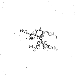 C=Cc1ccccc1.COS(=O)(=O)OC.O=S(O)O